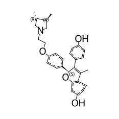 CC1=C(c2ccc(O)cc2)[C@H](c2ccc(OCCN3C[C@H](C)[C@@H](C)C3)cc2)Oc2cc(O)ccc21